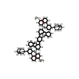 CC(C)c1ccc(N(c2ccc(C34CC5CC(CC(C5)C3)C4)cc2-c2ccccc2)c2ccc3c4cc5c(cc4n4c6ccccc6c2c34)c2ccc(N(c3ccc(C(C)C)cc3)c3ccc(C46CC7CC(CC(C7)C4)C6)cc3-c3ccccc3)c3c4ccccc4n5c23)cc1